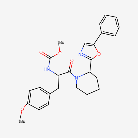 CC(C)(C)OC(=O)NC(Cc1ccc(OC(C)(C)C)cc1)C(=O)N1CCCCC1c1ncc(-c2ccccc2)o1